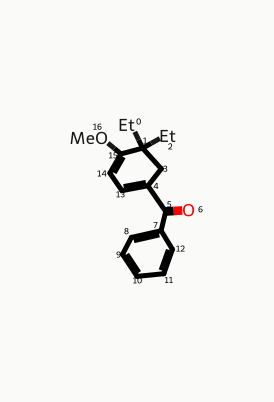 CCC1(CC)CC(C(=O)c2ccccc2)=CC=C1OC